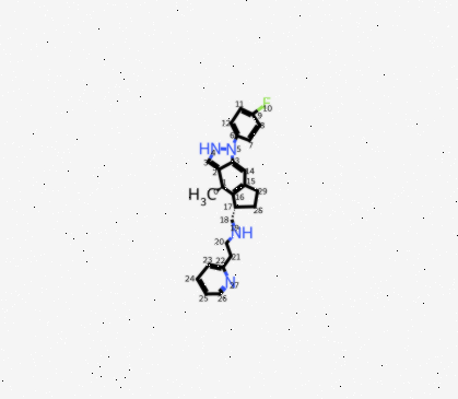 C[C@H]1C2=CNN(c3ccc(F)cc3)C2=CC2=C1[C@@H](CNCCc1ccccn1)CC2